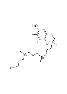 Cc1c(O)cc2c(c1C)O[C@](C)(CCC[C@@H](C)CCC[C@H](C)CCCC(C)C)CC2